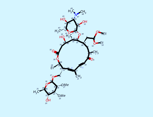 CCOC(C[C@H]1C[C@@H](C)C(=O)/C=C/C(C)=C/[C@H](COC2O[C@H](C)[C@@H](O)[C@@H](OC)[C@H]2OC)[C@@H](CC)OC(=O)C[C@@H](O)[C@H](C)[C@H]1O[C@@H]1O[C@H](C)[C@@H](O)[C@H](N(C)C)[C@H]1O)OCC